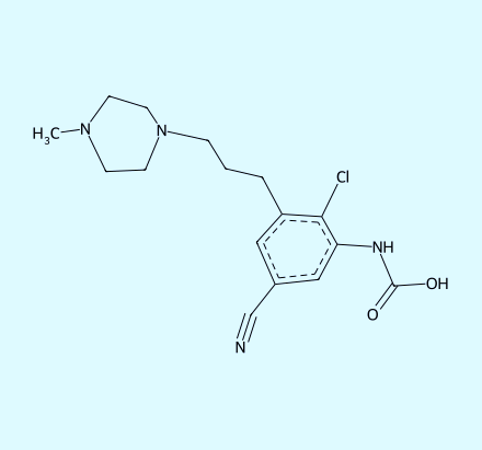 CN1CCN(CCCc2cc(C#N)cc(NC(=O)O)c2Cl)CC1